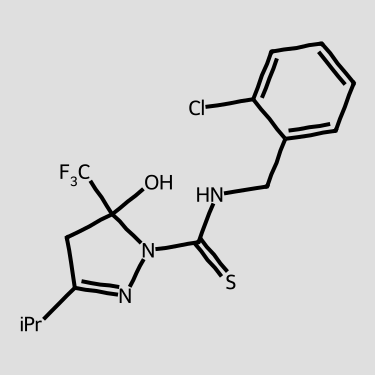 CC(C)C1=NN(C(=S)NCc2ccccc2Cl)C(O)(C(F)(F)F)C1